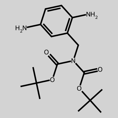 CC(C)(C)OC(=O)N(Cc1cc(N)ccc1N)C(=O)OC(C)(C)C